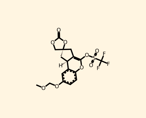 COCOc1ccc2c(c1)[C@H]1C[C@@]3(COC(=O)O3)CC1=C(OS(=O)(=O)C(F)(F)F)O2